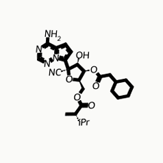 CC(C)[C@H](C)C(=O)OC[C@H]1O[C@@](C#N)(c2ccc3c(N)ncnn23)[C@H](O)[C@@H]1OC(=O)CC1CCCCC1